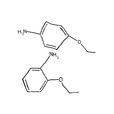 CCOc1ccc(N)cc1.CCOc1ccccc1N